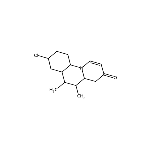 CC1C(C)C2CC(=O)C=CN2C2CCC(Cl)CC12